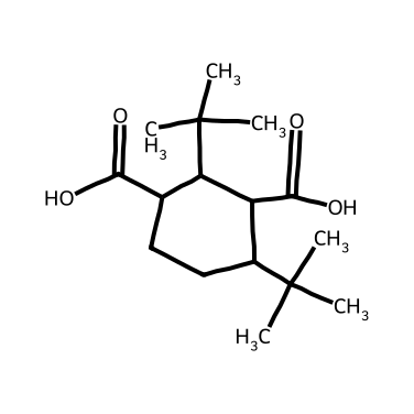 CC(C)(C)C1CCC(C(=O)O)C(C(C)(C)C)C1C(=O)O